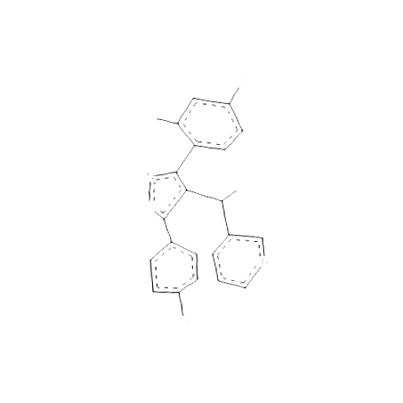 Cc1ccc(-c2onc(-c3ccc(Cl)cc3Cl)c2C(O)c2cccnc2)cc1